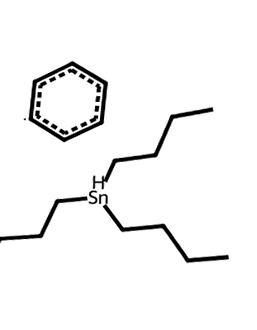 CCC[CH2][SnH]([CH2]CCC)[CH2]CCC.[c]1ccccc1